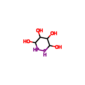 OC1PPC(O)C(O)C1O